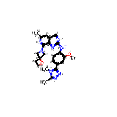 CCOc1cc(-c2nnc(C)n2C)ccc1Nc1ncc2cc(C)nc(N3CC4(CCO4)C3)c2n1